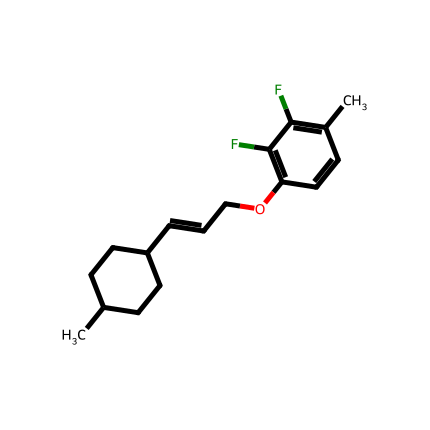 Cc1ccc(OCC=CC2CCC(C)CC2)c(F)c1F